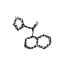 O=C(c1ccon1)c1cccc2ccccc12